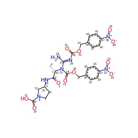 C[C@@H](C(=O)N[C@H]1CCN(C(=O)O)C1)N(C(=O)OCc1ccc([N+](=O)[O-])cc1)C(N)=NC(=O)OCc1ccc([N+](=O)[O-])cc1